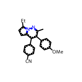 CCc1ccc2c(-c3ccc(C#N)cc3)c(-c3ccc(OC)cc3)c(C)nn12